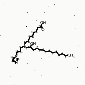 CCCCCCCCCCCCC(O)CN(CCCCCCCC(=O)O)CCCn1ccnc1